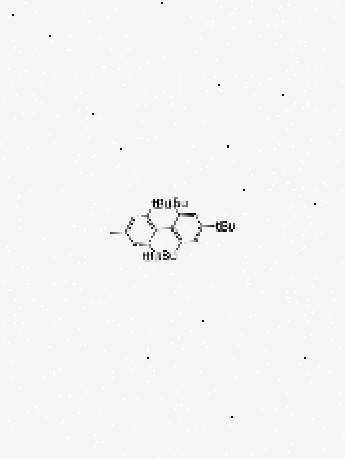 Cc1cc(C(C)(C)C)c(-c2c(C(C)(C)C)cc(C(C)(C)C)cc2C(C)(C)C)c(C(C)(C)C)c1